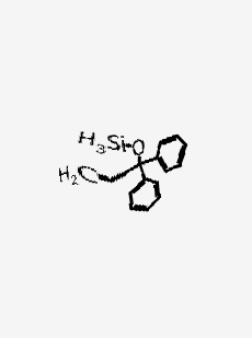 C=CCC(O[SiH3])(c1ccccc1)c1ccccc1